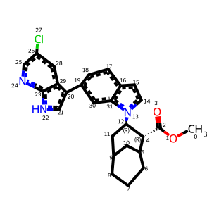 COC(=O)[C@@H]1C2CCCC(C2)C[C@H]1n1ccc2ccc(-c3c[nH]c4ncc(Cl)cc34)cc21